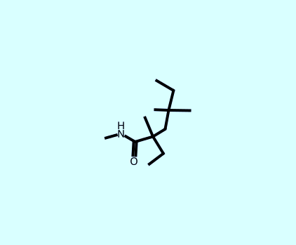 CCC(C)(C)CC(C)(CC)C(=O)NC